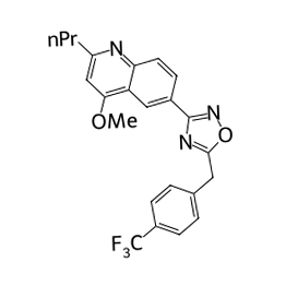 CCCc1cc(OC)c2cc(-c3noc(Cc4ccc(C(F)(F)F)cc4)n3)ccc2n1